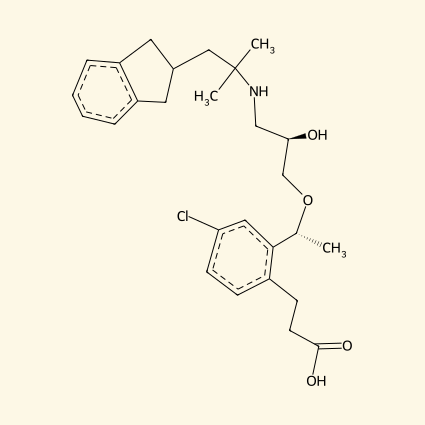 C[C@@H](OC[C@H](O)CNC(C)(C)CC1Cc2ccccc2C1)c1cc(Cl)ccc1CCC(=O)O